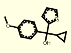 COc1ccc(C(O)(c2cccs2)C2CC2)cc1